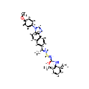 C/C(=N\SNC(=O)Nc1c(C)cccc1C)c1ccc2c(ccc3c2ncn3-c2ccc(OC(F)(F)F)cc2)c1